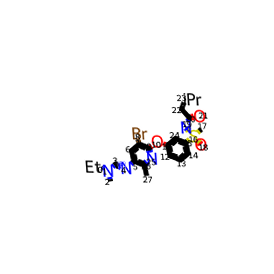 CCN(C)/C=N/c1cc(Br)c(Oc2cccc(S(C)(=O)=NC(=O)CC(C)C)c2)nc1C